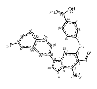 Nc1c(C=O)c(Oc2ccc(C(=O)O)cc2)nc2c(-c3cnc4ccc(F)cc4c3)cnn12